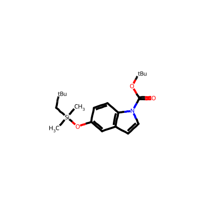 CC(C)(C)C[Si](C)(C)Oc1ccc2c(ccn2C(=O)OC(C)(C)C)c1